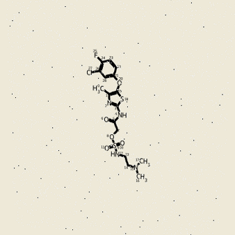 Cc1nc(NC(=O)COS(=O)(=O)NCCN(C)C)sc1Oc1ccc(F)c(Cl)c1